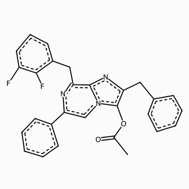 CC(=O)Oc1c(Cc2ccccc2)nc2c(Cc3cccc(F)c3F)nc(-c3ccccc3)cn12